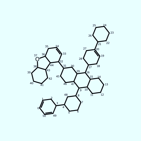 C1=CCC(C2CCCC(C3C4CCCCC4C(C4CC=C(C5CCCCC5)CC4)C4CC(C5C=CCC6OC7CCCCC7C65)CCC43)C2)C=C1